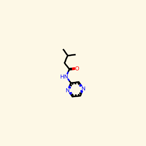 CC(C)CC(=O)Nc1cnccn1